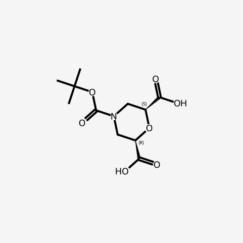 CC(C)(C)OC(=O)N1C[C@@H](C(=O)O)O[C@@H](C(=O)O)C1